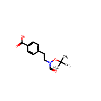 CC(C)(C)ON(C=O)CCc1ccc(C(=O)O)cc1